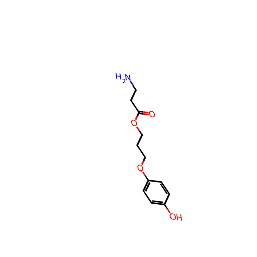 NCCC(=O)OCCCOc1ccc(O)cc1